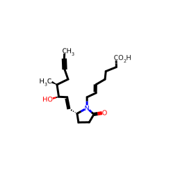 CC#CC[C@H](C)[C@H](O)/C=C/[C@H]1CCC(=O)N1C/C=C/CCCC(=O)O